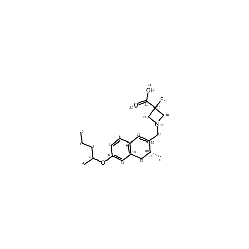 CCCC(C)Oc1ccc2c(c1)C[C@@H](C)C(CN1CC(F)(C(=O)O)C1)=C2